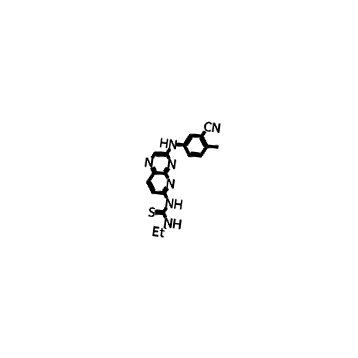 CCNC(=S)Nc1ccc2ncc(Nc3ccc(C)c(C#N)c3)nc2n1